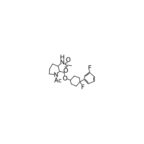 CC(=O)N1CCCC(NS(C)(=O)=O)C1COC1CCC(F)(c2cccc(F)c2)CC1